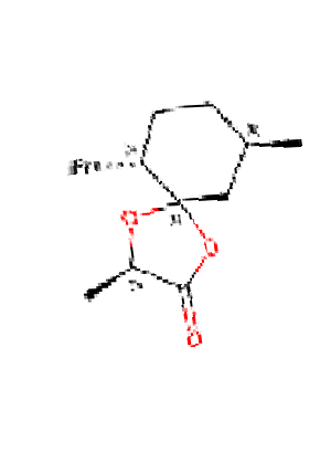 CC(C)[C@@H]1CC[C@@H](C)C[C@]12OC(=O)[C@@H](C)O2